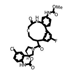 COC(=O)Nc1ccc2c(c1)NC(=O)CCCCC(C(=O)N1CC[C@@]3(C1)OC(=O)Nc1ccc(Cl)cc13)c1cc(F)cc-2c1